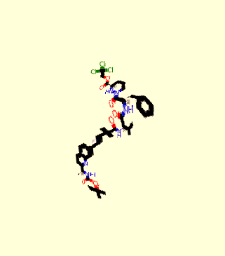 CC(C)[C@H](NC(=O)C(C)(C)/C=C/c1ccc2ccc([C@@H](C)NC(=O)OC(C)(C)C)nc2c1)C(=O)N[C@@H](Cc1ccccc1)C(=O)N1CCC[C@@H](C(=O)OCC(Cl)(Cl)Cl)N1